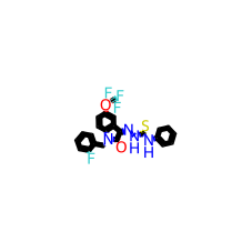 O=C1/C(=N\NC(=S)NC2=CC=CCC2)c2cc(OC(F)(F)F)ccc2N1Cc1ccccc1F